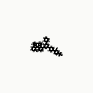 Cc1nc(C(C)(C)C)ccc1-c1ccc(-c2nc(-c3ccccc3)nc(-c3ccc4c(c3)C3(c5ccccc5O4)c4ccccc4-c4ccccc43)n2)cc1